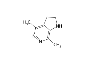 Cc1nnc(C)c2c1CCN2